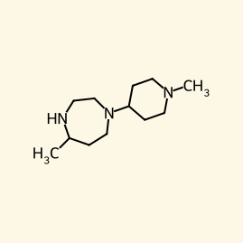 CC1CCN(C2CCN(C)CC2)CCN1